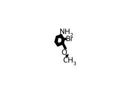 CCOCc1cccc(N)c1Br